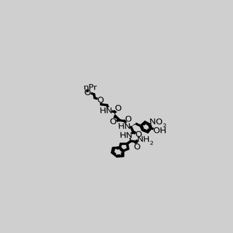 CCCOCCOCCNC(=O)[C@H]1OC1C(=O)N[C@H](Cc1ccc(O)c([N+](=O)[O-])c1)C(=O)N[C@@H](C(N)=O)C1Cc2ccccc2C1